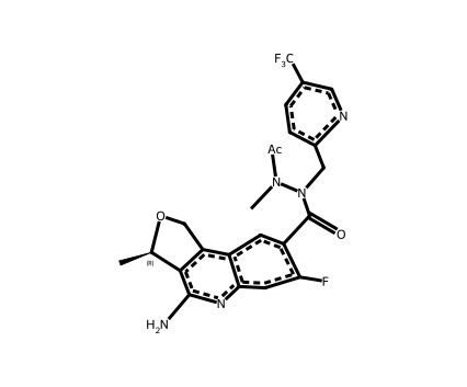 CC(=O)N(C)N(Cc1ccc(C(F)(F)F)cn1)C(=O)c1cc2c3c(c(N)nc2cc1F)[C@@H](C)OC3